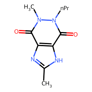 CCCn1c(=O)c2[nH]c(C)nc2c(=O)n1C